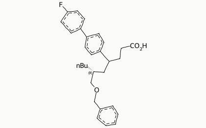 CCCC[C@@H](COCc1ccccc1)CC(CCC(=O)O)c1ccc(-c2ccc(F)cc2)cc1